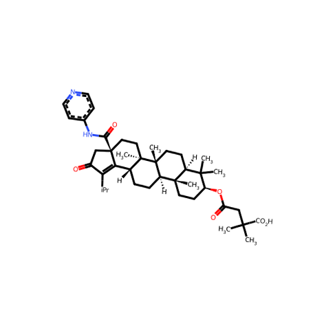 CC(C)C1=C2[C@H]3CC[C@@H]4[C@@]5(C)CC[C@H](OC(=O)CC(C)(C)C(=O)O)C(C)(C)[C@@H]5CC[C@@]4(C)[C@]3(C)CC[C@@]2(C(=O)Nc2ccncc2)CC1=O